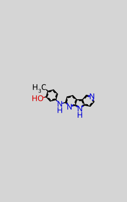 Cc1ccc(Nc2ccc3c(n2)[nH]c2ccncc23)cc1O